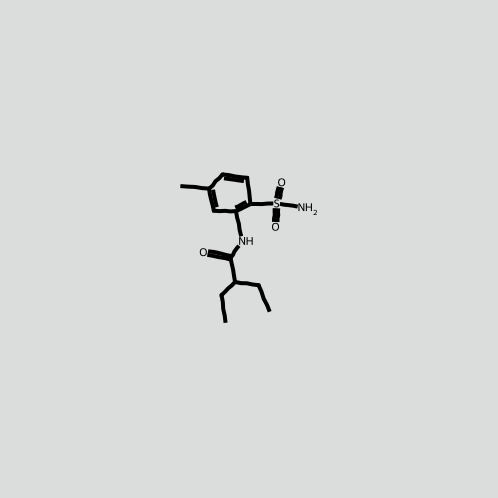 CCC(CC)C(=O)Nc1cc(C)ccc1S(N)(=O)=O